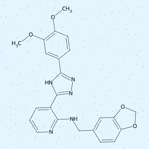 COc1ccc(-c2nnc(-c3cccnc3NCc3ccc4c(c3)OCO4)[nH]2)cc1OC